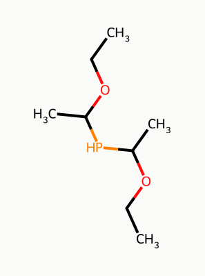 CCOC(C)PC(C)OCC